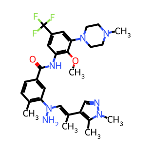 COc1c(NC(=O)c2ccc(C)c(N(N)/C=C(\C)c3cnn(C)c3C)c2)cc(C(F)(F)F)cc1N1CCN(C)CC1